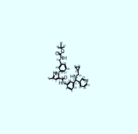 Cc1cc(C(=O)Nc2cccc(C(NCC3CC3)c3cccnc3)c2)n(-c2cccc(CNC(=O)OC(C)(C)C)c2)n1